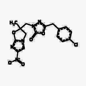 CC1(Cn2nc(Cc3ccc(Cl)cc3)oc2=O)Cn2cc([N+](=O)[O-])nc2O1